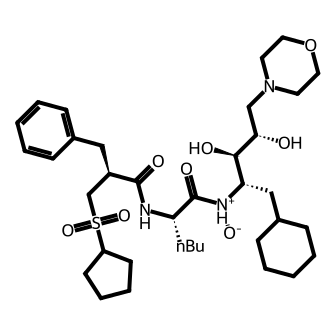 CCCC[C@H](NC(=O)[C@H](Cc1ccccc1)CS(=O)(=O)C1CCCC1)C(=O)[NH+]([O-])[C@@H](CC1CCCCC1)[C@@H](O)[C@@H](O)CN1CCOCC1